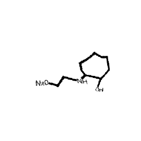 COCCNC1CCCCC1O